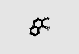 CCCc1ccc2ccccc2c1O